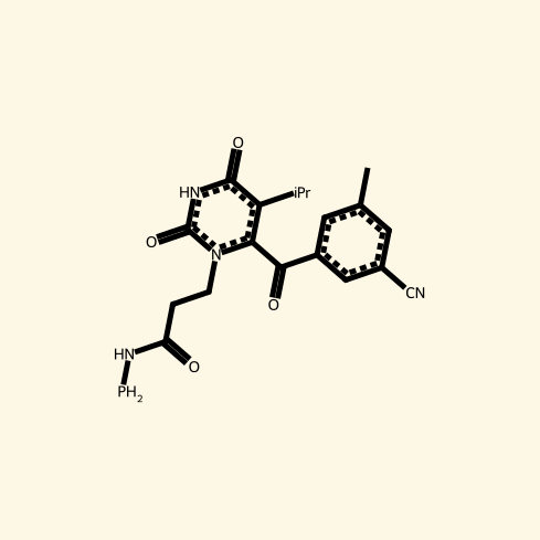 Cc1cc(C#N)cc(C(=O)c2c(C(C)C)c(=O)[nH]c(=O)n2CCC(=O)NP)c1